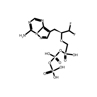 Nc1ncnc2c(C[C@H](OCP(=O)(O)OP(=O)(O)OP(=O)(O)O)C(F)F)cnn12